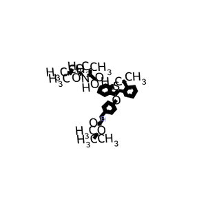 CC(C)c1ccccc1-c1sc2cc(OC(=O)C(NC(=O)OC(C)(C)C)C(C)C)ccc2c1Oc1ccc(/C=C/C(=O)OC(C)(C)C)cc1